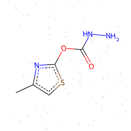 Cc1csc(OC(=O)NN)n1